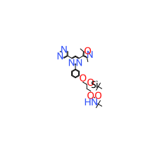 Cc1noc(C)c1-c1cc(-c2cncnc2)nc(-c2cccc(OCC(CCOC(=O)NC(C)(C)C)O[Si](C)(C)C(C)(C)C)c2)n1